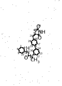 CN(C(=O)Nc1ccccc1)c1cccc(-c2ccc(C=C3SC(=O)NC3=O)cc2)c1